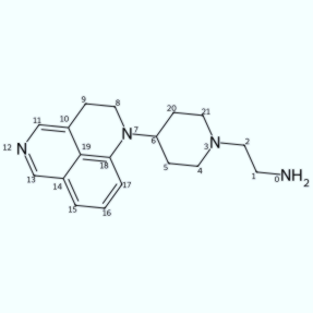 NCCN1CCC(N2CCc3cncc4cccc2c34)CC1